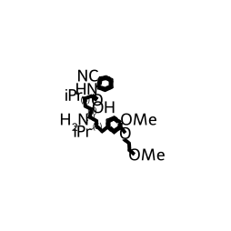 COCCCOc1cc(C[C@@H](C[C@H](N)[C@@H](O)C[C@H](C(=O)Nc2ccccc2C#N)C(C)C)C(C)C)ccc1OC